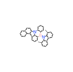 Cc1cccc2c3cccc(C)c3n(B3c4ccccc4-n4c5ccc6ccccc6c5c5cccc3c54)c12